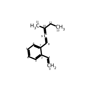 C=Cc1ccccc1C=C=C(C)CC